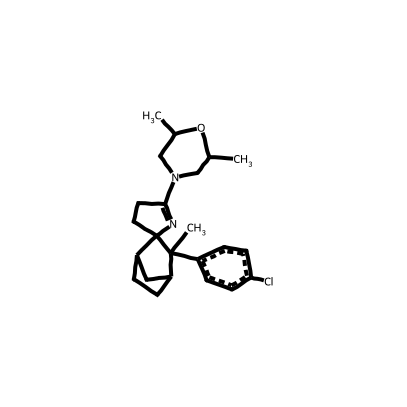 CC1CN(C2=NC3(CC2)C2CCC(C2)C3(C)c2ccc(Cl)cc2)CC(C)O1